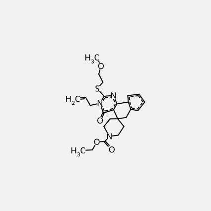 C=CCn1c(SCCOC)nc2c(c1=O)C1(CCN(C(=O)OCC)CC1)Cc1ccccc1-2